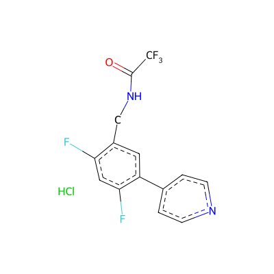 Cl.O=C(NCc1cc(-c2ccncc2)c(F)cc1F)C(F)(F)F